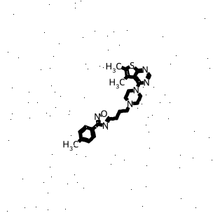 Cc1ccc(-c2noc(CCCN3CCN(c4ncnc5sc(C)c(C)c45)CC3)n2)cc1